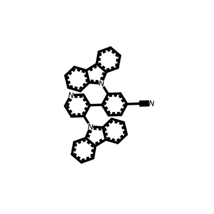 N#Cc1ccc(-c2cnccc2-n2c3ccccc3c3ccccc32)c(-n2c3ccccc3c3ccccc32)c1